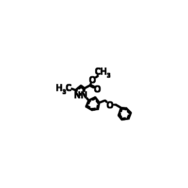 CCOC(=O)c1cc(C)nn1-c1cccc(COCc2ccccc2)c1